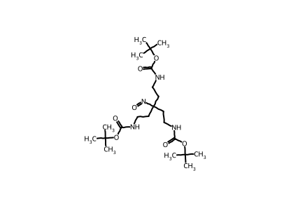 CC(C)(C)OC(=O)NCCC(CCNC(=O)OC(C)(C)C)(CCNC(=O)OC(C)(C)C)N=O